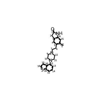 O=C1Cc2cc(CCN3CCN(c4cccc5sccc45)CC3)c(F)cc2N1